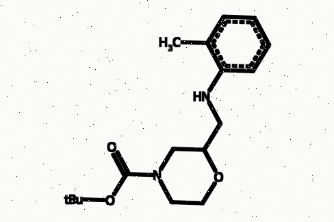 Cc1ccccc1NCC1CN(C(=O)OC(C)(C)C)CCO1